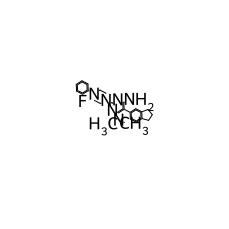 CN(C)c1nc(N2CCN(c3ccccc3F)CC2)nc(N)c1-c1ccc2c(c1)CCC2